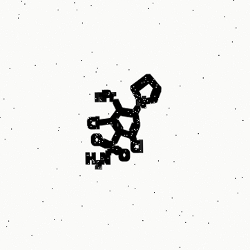 CCCc1c(-n2cccc2)cc(Cl)c(S(N)(=O)=O)c1Cl